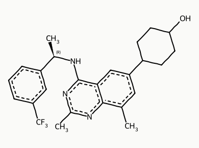 Cc1nc(N[C@H](C)c2cccc(C(F)(F)F)c2)c2cc(C3CCC(O)CC3)cc(C)c2n1